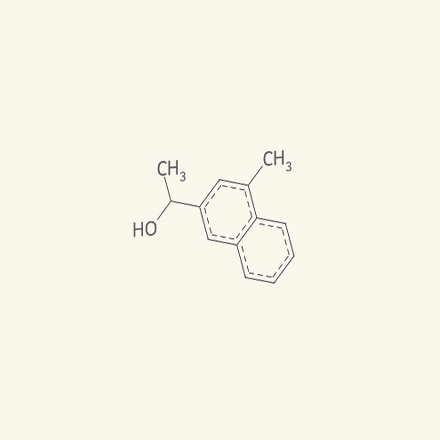 Cc1cc(C(C)O)cc2ccccc12